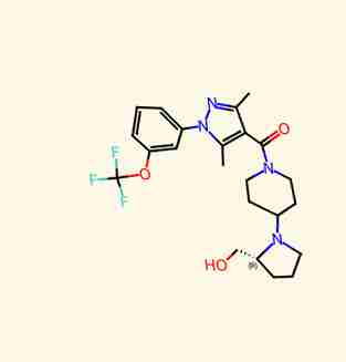 Cc1nn(-c2cccc(OC(F)(F)F)c2)c(C)c1C(=O)N1CCC(N2CCC[C@@H]2CO)CC1